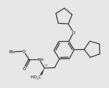 CC(C)(C)OC(=O)N[C@@H](Cc1ccc(OC2CCCC2)c(C2CCCC2)c1)C(=O)O